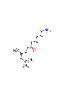 CC(C)CC(C)COC(=O)CCCCCN